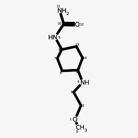 COCCNC1CCC(NC(N)=O)CC1